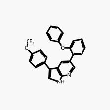 FC(F)(F)Oc1ccc(-c2c[nH]c3ncc(-c4ccccc4Oc4ccccc4)cc23)cc1